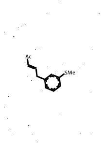 CSc1cccc(C/C=C/C(C)=O)c1